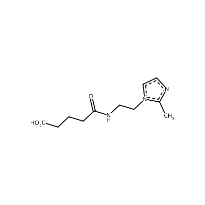 Cc1nccn1CCNC(=O)CCCC(=O)O